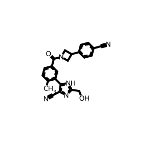 Cc1ccc(C(=O)N2CC(c3ccc(C#N)cc3)C2)cc1-c1[nH]c(CO)nc1C#N